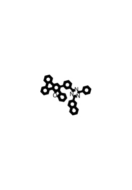 c1ccc(-c2nc(-c3cccc(-c4cc5c6ccccc6c6ccccc6c5c5oc6ccccc6c45)c3)nc(-c3ccc4ccccc4c3)n2)cc1